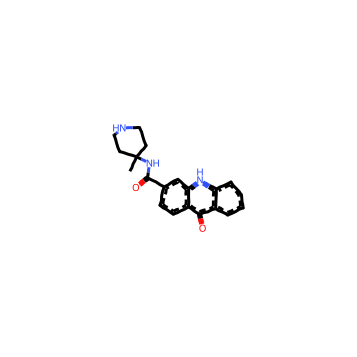 CC1(NC(=O)c2ccc3c(=O)c4ccccc4[nH]c3c2)CCNCC1